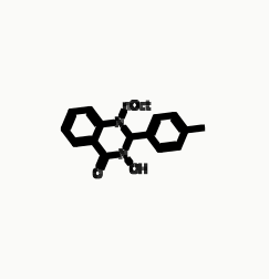 CCCCCCCCN1c2ccccc2C(=O)N(O)C1c1ccc(C)cc1